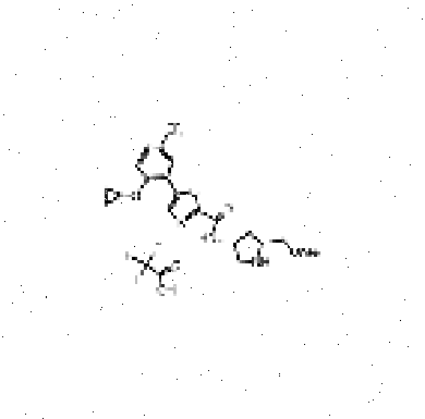 COC[C@@H]1C[C@@H](NC(=O)c2ncc(-c3cc(C(F)(F)F)ccc3OC3CC3)o2)CN1.O=C(O)C(F)(F)F